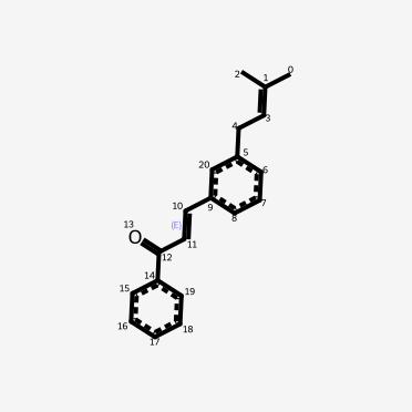 CC(C)=CCc1cccc(/C=C/C(=O)c2ccccc2)c1